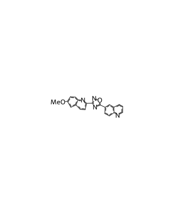 COc1ccc2nc(-c3noc(-c4ccc5ncccc5c4)n3)ccc2c1